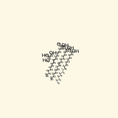 CCCCCCCCC=CCCCCCCCC(=O)O.CCCCCCCCC=CCCCCCCCC(=O)O.CCCCCCCCC=CCCCCCCCC(=O)O.OCC(O)CO